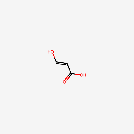 O=C(O)C=CO